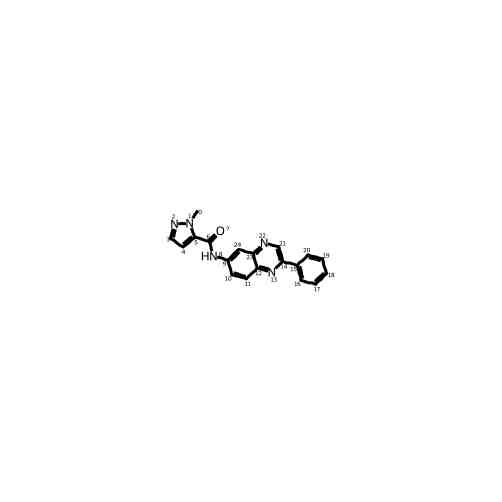 Cn1nccc1C(=O)Nc1ccc2nc(-c3ccccc3)cnc2c1